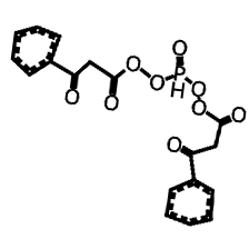 O=C(CC(=O)c1ccccc1)OO[PH](=O)OOC(=O)CC(=O)c1ccccc1